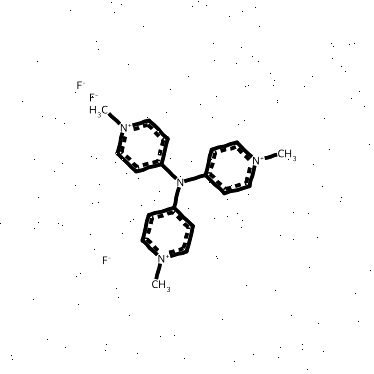 C[n+]1ccc(N(c2cc[n+](C)cc2)c2cc[n+](C)cc2)cc1.[F-].[F-].[F-]